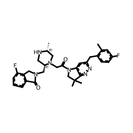 Cc1cc(F)ccc1Cc1cc2c(nn1)C(C)(C)CN2C(=O)CN1C[C@@H](C)NC[C@@H]1CN1Cc2c(F)cccc2C1=O